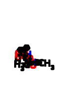 CCC(CC)C(=O)N(CCOc1ccc(CC(Nc2ccccc2C(=O)c2ccccc2)C(=O)O)cc1)c1ccc(C)cc1